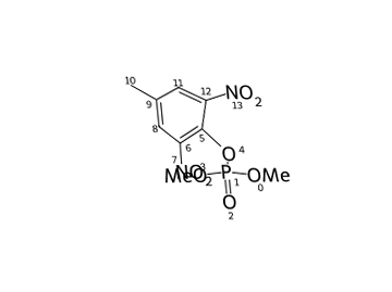 COP(=O)(OC)Oc1c([N+](=O)[O-])cc(C)cc1[N+](=O)[O-]